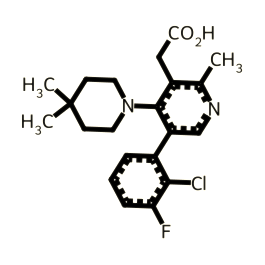 Cc1ncc(-c2cccc(F)c2Cl)c(N2CCC(C)(C)CC2)c1CC(=O)O